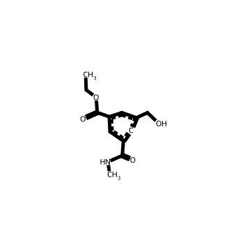 CCOC(=O)c1cc(CO)cc(C(=O)NC)c1